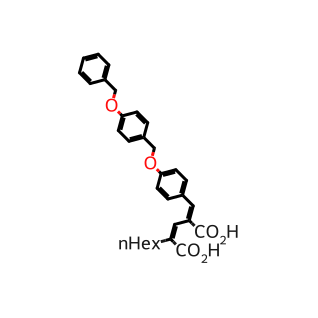 CCCCCCC(=CC(=Cc1ccc(OCc2ccc(OCc3ccccc3)cc2)cc1)C(=O)O)C(=O)O